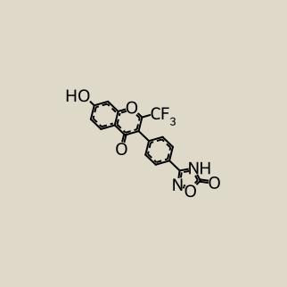 O=c1[nH]c(-c2ccc(-c3c(C(F)(F)F)oc4cc(O)ccc4c3=O)cc2)no1